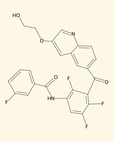 O=C(Nc1cc(F)c(F)c(C(=O)c2ccc3ncc(OCCO)cc3c2)c1F)c1cccc(F)c1